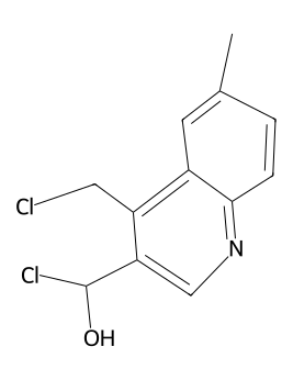 Cc1ccc2ncc(C(O)Cl)c(CCl)c2c1